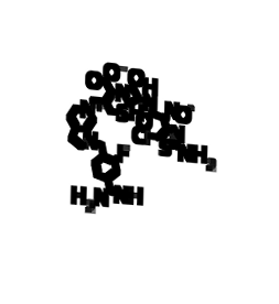 CON=C(C(=O)N[C@@H]1C(=O)N2C(C(=O)[O-])=C(C[n+]3ccc4ccn(Cc5ccc(C(=N)N)cc5F)c4c3)CS[C@H]12)c1nc(N)sc1Cl